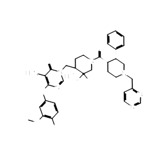 COc1cc(Oc2ncn(C[C@@]3(O)CCN(C(=O)[C@@H]4CCN(Cc5ccncn5)C[C@H]4c4ccccc4)CC3(F)F)c(=O)c2N)ccc1F